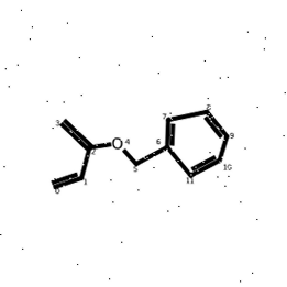 C=CC(=C)OCc1ccccc1